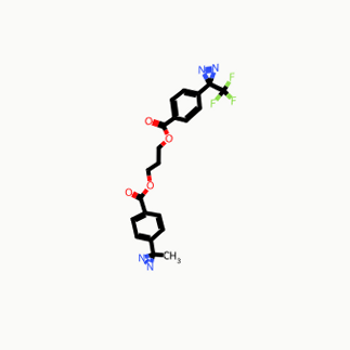 CC1(c2ccc(C(=O)OCCCOC(=O)c3ccc(C4(C(F)(F)F)N=N4)cc3)cc2)N=N1